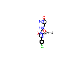 CCCCCc1nc(-c2ccc(Cl)cc2)cc(=O)n1CC(=O)NCC1CCC(=O)NC1